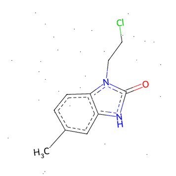 Cc1ccc2c(c1)[nH]c(=O)n2CCCl